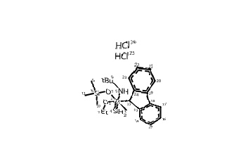 CC[O][Zr]([CH3])(=[SiH2])([NH]C(C)(C)C)([O][Si](C)(C)C)[CH]1c2ccccc2-c2ccccc21.Cl.Cl